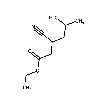 CCOC(=O)C[C@H](C#N)CC(C)C